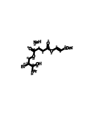 CCCCCCCCCCC=COC(=O)CCC(=O)OCC(CC)C(O)CCC.[NaH]